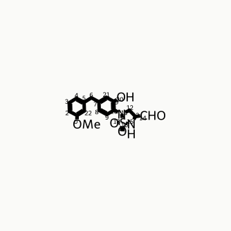 COc1cccc(Cc2ccc(N3CC(C=O)NS3(=O)=O)c(O)c2)c1